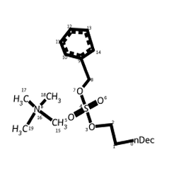 CCCCCCCCCCCCOS(=O)(=O)OCc1ccccc1.C[N+](C)(C)C